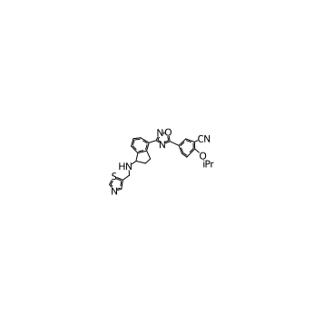 CC(C)Oc1ccc(-c2nc(-c3cccc4c3CCC4NCc3cncs3)no2)cc1C#N